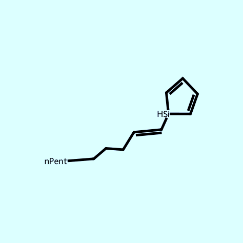 CCCCCCCCC=C[SiH]1C=CC=C1